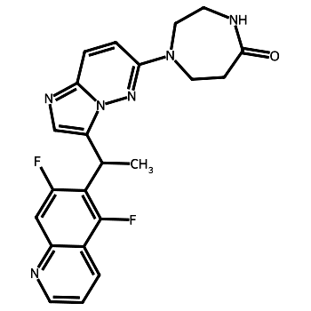 CC(c1c(F)cc2ncccc2c1F)c1cnc2ccc(N3CCNC(=O)CC3)nn12